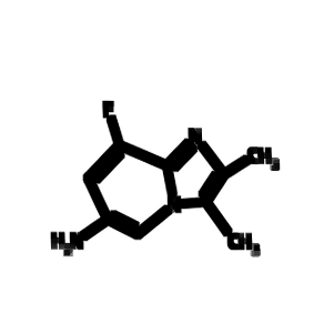 Cc1nc2c(F)cc(N)cn2c1C